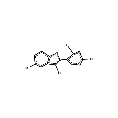 Oc1ccc(-n2nc3ccc(O)cc3c2Cl)c(F)c1